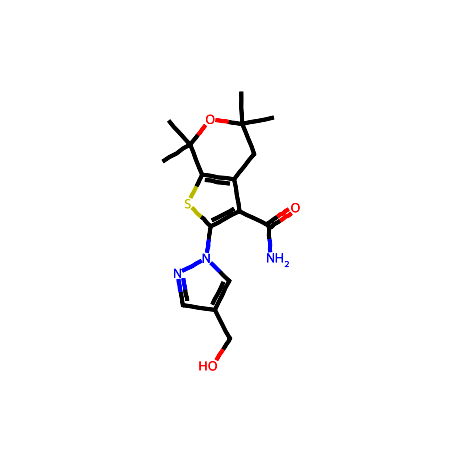 CC1(C)Cc2c(sc(-n3cc(CO)cn3)c2C(N)=O)C(C)(C)O1